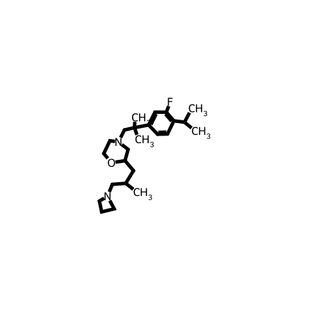 CC(CC1CN(CC(C)(C)c2ccc(C(C)C)c(F)c2)CCO1)CN1CCC1